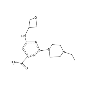 CCN1CCN(c2nc(NC3COC3)cc(C(N)=O)n2)CC1